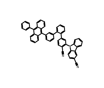 N#Cc1ccc2c(c1)c1ccccc1n2-c1cc(-c2ccccc2-c2cccc(-c3c4ccccc4c(-c4ccccc4)c4ccccc34)c2)ccc1C#N